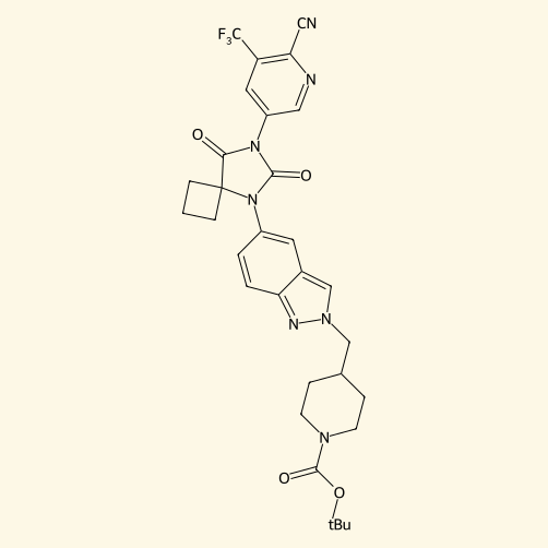 CC(C)(C)OC(=O)N1CCC(Cn2cc3cc(N4C(=O)N(c5cnc(C#N)c(C(F)(F)F)c5)C(=O)C45CCC5)ccc3n2)CC1